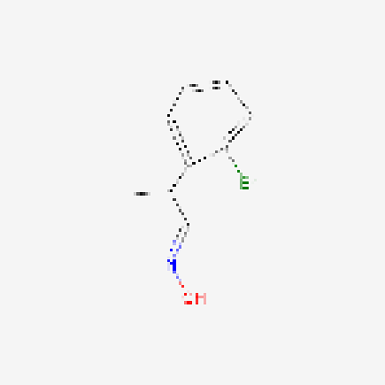 CC(C=NO)c1ccccc1Br